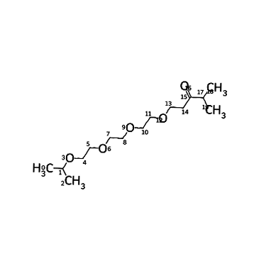 CC(C)OCCOCCOCCOCCC(=O)C(C)C